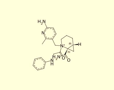 Cc1nc(N)ccc1C[N+]1(C(=O)CNc2ccccc2)CCC[C@@H]2C[C@@]21C(N)=O